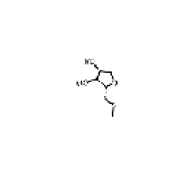 CSC[C@H]1OC[C@H](O)[C@@H]1O